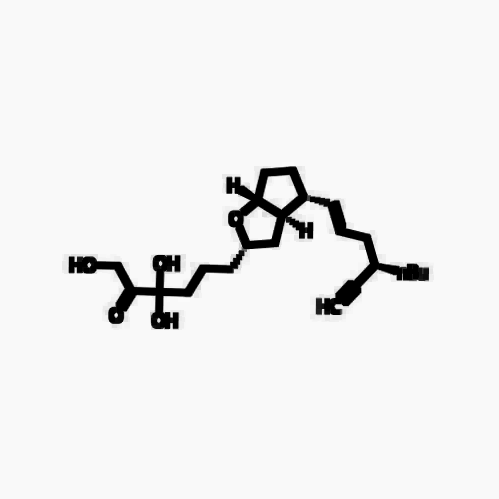 C#C[C@@H](CC=C[C@H]1CC[C@H]2O[C@@H](CCCC(O)(O)C(=O)CO)C[C@H]12)CCCC